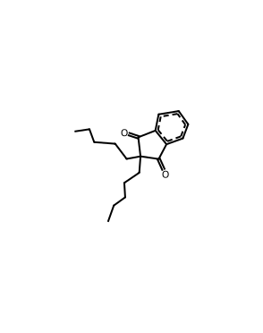 CCCCCC1(CCCCC)C(=O)c2ccccc2C1=O